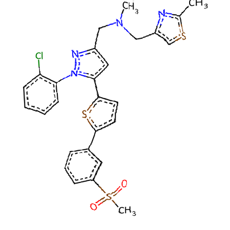 Cc1nc(CN(C)Cc2cc(-c3ccc(-c4cccc(S(C)(=O)=O)c4)s3)n(-c3ccccc3Cl)n2)cs1